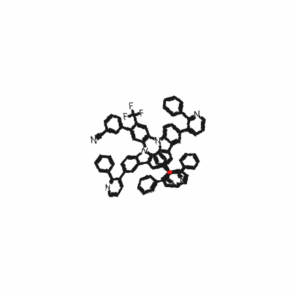 N#Cc1cccc(-c2cc(-n3c4ccc(-c5cccnc5-c5ccccc5)cc4c4cc(-c5cccnc5-c5ccccc5)ccc43)c(-n3c4ccc(-c5cccnc5-c5ccccc5)cc4c4cc(-c5cccnc5-c5ccccc5)ccc43)cc2C(F)(F)F)c1